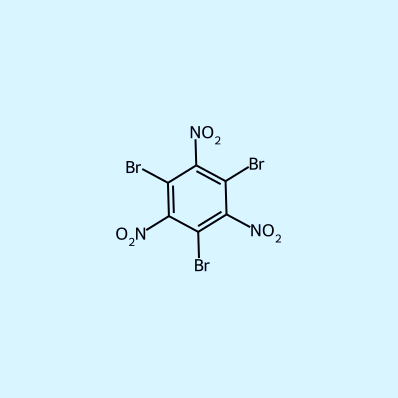 O=[N+]([O-])c1c(Br)c([N+](=O)[O-])c(Br)c([N+](=O)[O-])c1Br